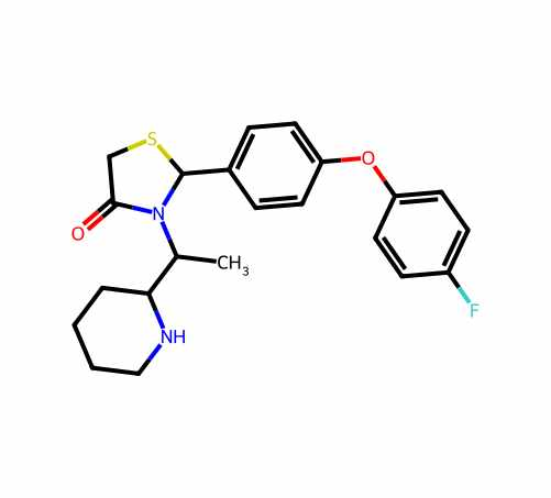 CC(C1CCCCN1)N1C(=O)CSC1c1ccc(Oc2ccc(F)cc2)cc1